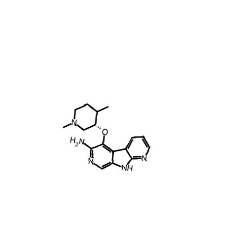 CC1CCN(C)C[C@H]1Oc1c(N)ncc2[nH]c3ncccc3c12